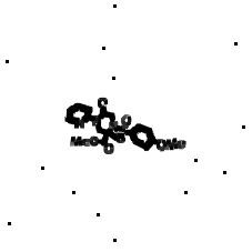 COC(=O)C1(C)CN(c2ccccn2)C(=O)CN1S(=O)(=O)c1ccc(OC)cc1